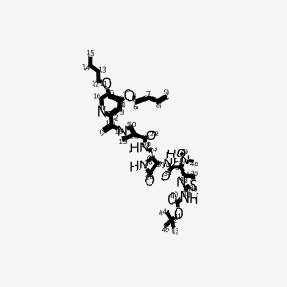 C=C(c1cc(OCCCC)c(OCCCC)cn1)N1CC(C(=O)NC[C@H]2NC(=O)[C@H]2NC(=O)C(c2csc(NC(=O)OC(C)(C)C)n2)N(C)O)C1